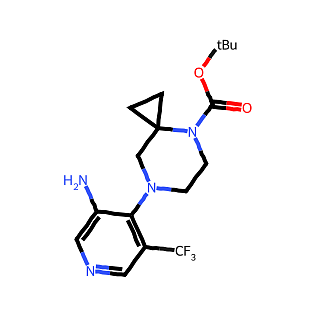 CC(C)(C)OC(=O)N1CCN(c2c(N)cncc2C(F)(F)F)CC12CC2